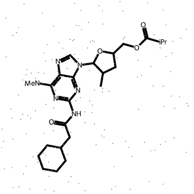 CNc1nc(NC(=O)CC2CCCCC2)nc2c1ncn2C1OC(COC(=O)C(C)C)CC1C